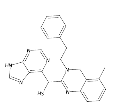 Cc1cccc2c1CN(CCc1ccccc1)C(C(S)c1ncnc3[nH]cnc13)=N2